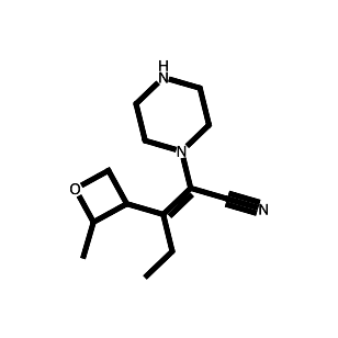 CCC(=C(C#N)N1CCNCC1)C1COC1C